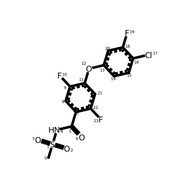 CS(=O)(=O)NC(=O)c1cc(F)c(Oc2ccc(Cl)c(F)c2)cc1F